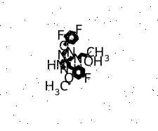 CCOc1cc(F)ccc1-c1n[nH]c2nc(Oc3ccc(F)cc3F)nc(NC[C@H](C)O)c12